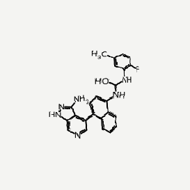 Cc1ccc(F)c(NC(O)Nc2ccc(-c3cncc4[nH]nc(N)c34)c3ccccc23)c1